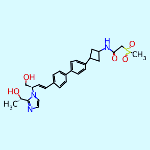 C[C@H](O)c1nccn1[C@H](/C=C/c1ccc(-c2ccc(C3CC(NC(=O)CS(C)(=O)=O)C3)cc2)cc1)CO